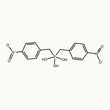 O=[N+]([O-])c1ccc(CP(O)(O)(O)Cc2ccc([N+](=O)[O-])cc2)cc1